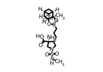 CNS(=O)(=O)N1C[C@H](CCCB2O[C@H]3C[C@H]4C[C@H](C4(C)C)[C@@]3(C)O2)[C@](N)(C(=O)O)C1